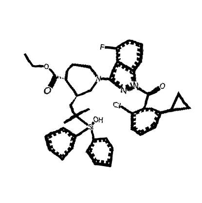 CCOC(=O)[C@@H]1CCN(c2nn(C(=O)c3c(Cl)cccc3C3CC3)c3cccc(F)c23)C[C@H]1CC(C)(C)[Si](O)(c1ccccc1)c1ccccc1